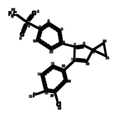 O=S(=O)(c1ccc(C2=CC3(C=C2c2ccc(F)c(Cl)c2)CC3)cc1)C(F)(F)F